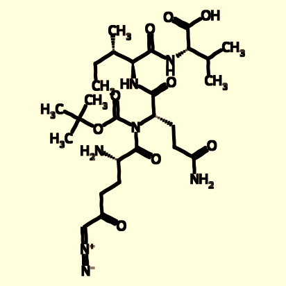 CC[C@H](C)[C@H](NC(=O)[C@H](CCC(N)=O)N(C(=O)OC(C)(C)C)C(=O)[C@@H](N)CCC(=O)C=[N+]=[N-])C(=O)N[C@H](C(=O)O)C(C)C